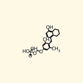 Cc1cc(OCOP(=O)(O)O)cc(C)c1Cc1ccc(O)c2c1CCCC2